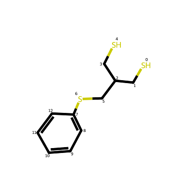 SCC(CS)CSc1ccccc1